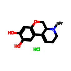 CCCN1CCC=C2c3cc(O)c(O)cc3OCC21.Cl